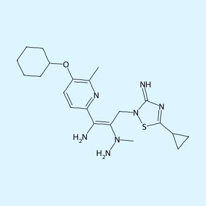 Cc1nc(/C(N)=C(\Cn2sc(C3CC3)nc2=N)N(C)N)ccc1OC1CCCCC1